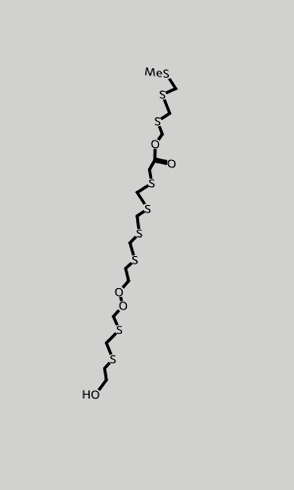 CSCSCSCOC(=O)CSCSCSCSCCOOCSCSCCO